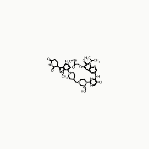 CNC(=O)COc1cc2cc(Nc3nc(N4CCN(CC5CCN(c6cccc7c(C8CCC(=O)NC8=O)nn(C)c67)CC5)C[C@@H]4CO)ncc3Cl)cnc2n(C(C)C)c1=O